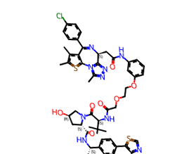 Cc1ncsc1-c1ccc([C@H](C)NC(=O)[C@@H]2C[C@@H](O)CN2C(=O)[C@@H](NC(=O)COCCOc2cccc(NC(=O)C[C@@H]3N=C(c4ccc(Cl)cc4)c4c(sc(C)c4C)-n4c(C)nnc43)c2)C(C)(C)C)cc1